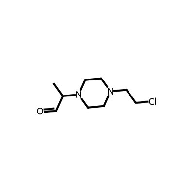 CC(C=O)N1CCN(CCCl)CC1